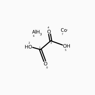 O=C(O)C(=O)O.[AlH3].[Co]